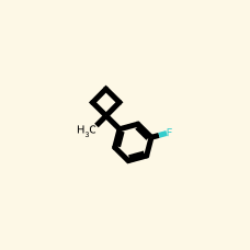 CC1(c2cccc(F)c2)CCC1